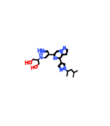 CC(C)CC(C)n1cc(-c2nc(/C(C=N)=C/NC(CO)CO)cn3nccc23)cn1